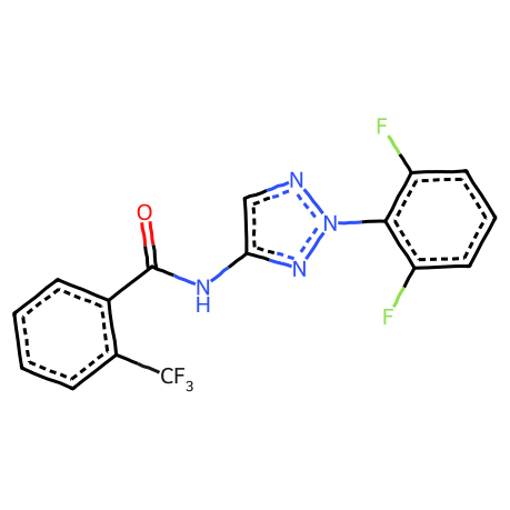 O=C(Nc1cnn(-c2c(F)cccc2F)n1)c1ccccc1C(F)(F)F